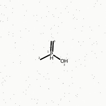 C=[PH](C)O